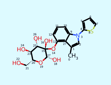 Cc1cn(-c2cccs2)c2cccc(O[C@]3(O)[C@H](O)O[C@H](CO)[C@@H](O)[C@@H]3O)c12